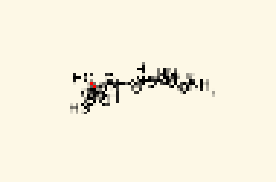 NC(=S)c1cccc(-c2ccc(OCCOCCNC(=O)CCCCCNC(=O)c3ccc4c(c3)C(=O)OC43c4ccc(O)cc4Oc4cc(O)ccc43)c3[nH]ccc23)c1